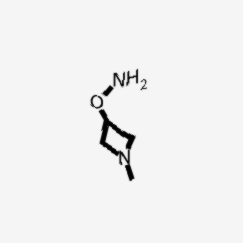 CN1CC(ON)C1